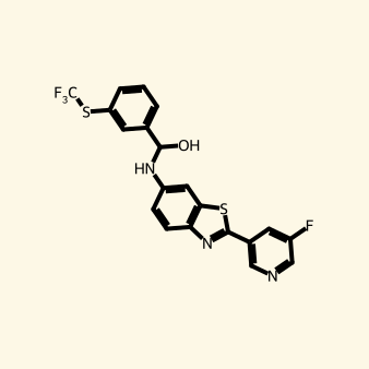 OC(Nc1ccc2nc(-c3cncc(F)c3)sc2c1)c1cccc(SC(F)(F)F)c1